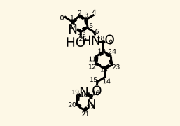 Cc1cc(C)c(CNC(=O)c2ccc(CCOc3ncccn3)cc2)c(O)n1